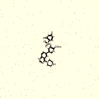 COc1ncc(-c2ccc3ncnc(N4CCNCC4)c3c2)cc1SS(=O)(=O)c1ccc(F)cc1F